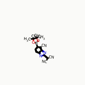 CC1(C)OB(c2ccc3c(c2C#N)=NC(=C(C#N)C#N)N=3)OC1(C)C